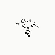 COc1cncc(OC[C@@H](C)CNC(=O)OC(C)(C)C)c1-c1cc(Nc2cnc(C#N)cn2)n[nH]1